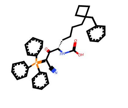 N#CC(C(=O)[C@H](CCCCC1(Cc2ccccc2)CCC1)NC(=O)O)=P(c1ccccc1)(c1ccccc1)c1ccccc1